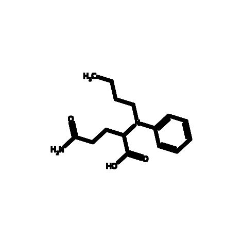 CCCCN(c1ccccc1)C(CCC(N)=O)C(=O)O